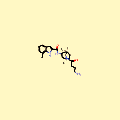 Cc1cccc2cc(C(=O)N[C@@H]3C[C@@H]4CC[C@H]3CN4C(=O)CCCN)[nH]c12